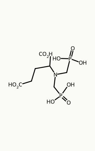 O=C(O)CCC(C(=O)O)N(CP(=O)(O)O)CP(=O)(O)O